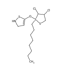 CCCCCCCCS1(OC2=CCNS2)SCC(Cl)C1Cl